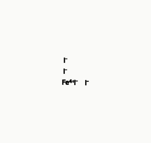 [Fe+4].[I-].[I-].[I-].[I-]